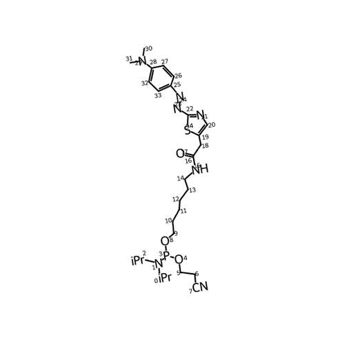 CC(C)N(C(C)C)P(OCCC#N)OCCCCCCNC(=O)Cc1cnc(N=Nc2ccc(N(C)C)cc2)s1